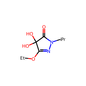 CCOC1=NN(C(C)C)C(=O)C1(O)O